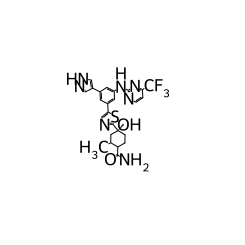 CC1C[C@](O)(c2ncc(-c3cc(Nc4nccc(C(F)(F)F)n4)cc(-c4cn[nH]c4)c3)s2)CCC1C(N)=O